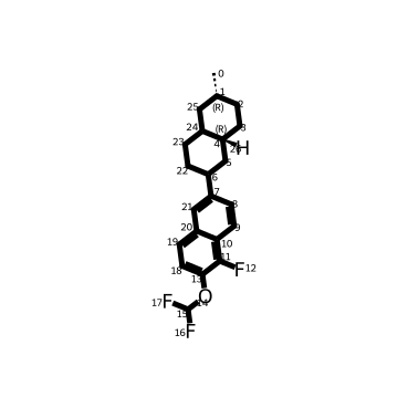 C[C@@H]1CC[C@@H]2CC(c3ccc4c(F)c(OC(F)F)ccc4c3)CCC2C1